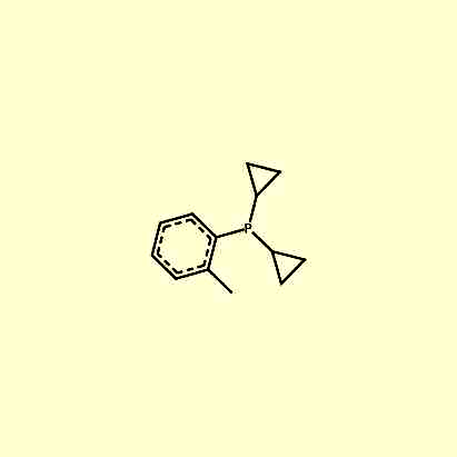 Cc1ccccc1P(C1CC1)C1CC1